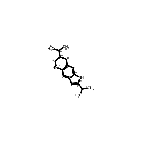 CC(C)c1cc2cc3c(cc2[nH]1)CC(C(C)C)CN3